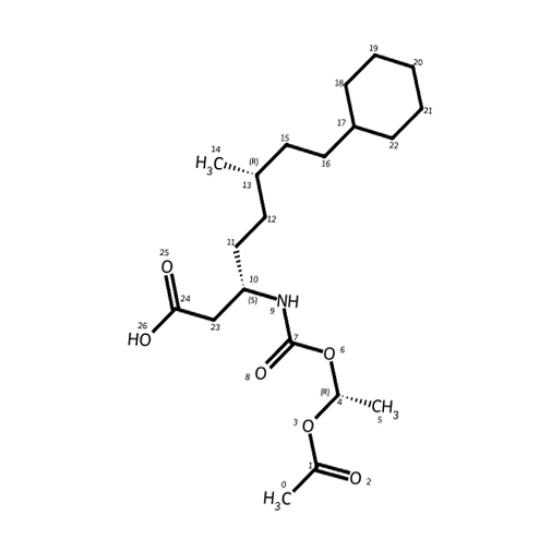 CC(=O)O[C@@H](C)OC(=O)N[C@@H](CC[C@H](C)CCC1CCCCC1)CC(=O)O